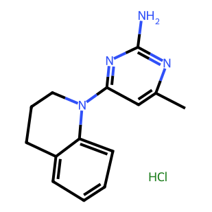 Cc1cc(N2CCCc3ccccc32)nc(N)n1.Cl